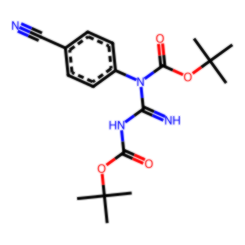 CC(C)(C)OC(=O)NC(=N)N(C(=O)OC(C)(C)C)c1ccc(C#N)cc1